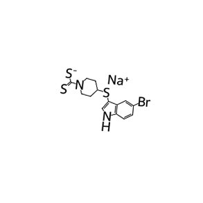 S=C([S-])N1CCC(Sc2c[nH]c3ccc(Br)cc23)CC1.[Na+]